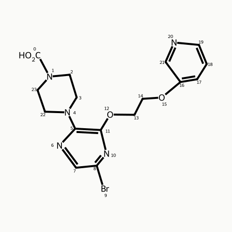 O=C(O)N1CCN(c2ncc(Br)nc2OCCOc2cccnc2)CC1